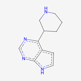 c1nc(C2CCCNC2)c2cc[nH]c2n1